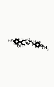 COc1ccc(CNC(=O)ON2CCC(c3ccc(O)cc3O)CC2)cc1